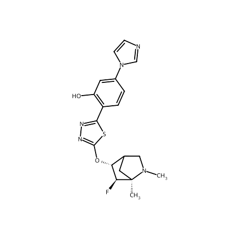 CN1CC2C[C@]1(C)[C@@H](F)[C@@H]2Oc1nnc(-c2ccc(-n3ccnc3)cc2O)s1